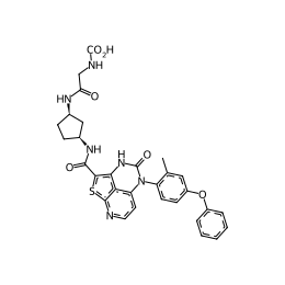 Cc1cc(Oc2ccccc2)ccc1N1C(=O)Nc2c(C(=O)N[C@H]3CC[C@@H](NC(=O)CNC(=O)O)C3)sc3nccc1c23